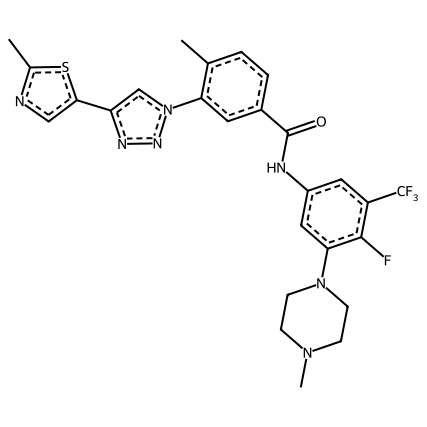 Cc1ncc(-c2cn(-c3cc(C(=O)Nc4cc(N5CCN(C)CC5)c(F)c(C(F)(F)F)c4)ccc3C)nn2)s1